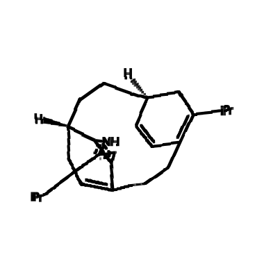 CC(C)C1=C2C=C[C@@H](CC[C@H]3CC=C(CC2)c2cc(C(C)C)[nH]c23)C1